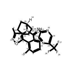 Cc1noc(-c2c(F)cccc2C(=O)N2[C@@H]3CC[C@H]2[C@H](Nc2cnc(C(F)(F)F)cn2)C3)n1